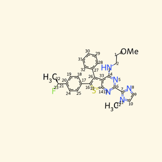 COCCNc1nc(-c2nccn2C)nc2sc(-c3ccc([C@H](C)F)cc3)c(-c3ccccc3)c12